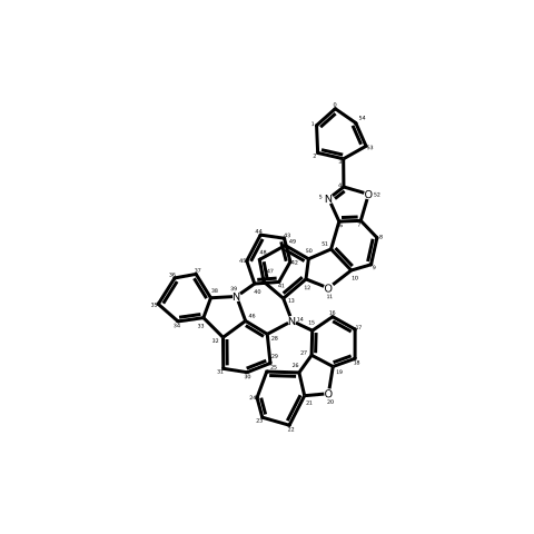 c1ccc(-c2nc3c(ccc4oc5c(N(c6cccc7oc8ccccc8c67)c6cccc7c8ccccc8n(-c8ccccc8)c67)cccc5c43)o2)cc1